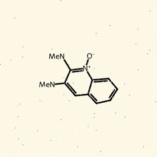 CNc1cc2ccccc2[n+]([O-])c1NC